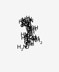 CC(C)C[C@H](NC(=O)CNC(=O)[C@H](Cc1ccc(O)cc1)NC(=O)[C@H](CO)NC(=O)[C@H](Cc1c[nH]c2ccccc12)NC(=O)[C@H](Cc1c[nH]cn1)NC(=O)C1CCC(=O)N1)C(=O)N[C@@H](CCCNC(=N)N)C(=O)N1CCC[C@H]1C(=O)NCC(N)=O